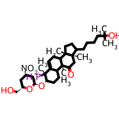 CC(C)(O)CCCCC1CC[C@@]2(C)C3CC=C4C(CC[C@H](O[C@H]5C[C@@H]([N+](=O)[O-])C[C@@H](CO)O5)[C@@]4(C)P)[C@]3(C)C(=O)C[C@]12C